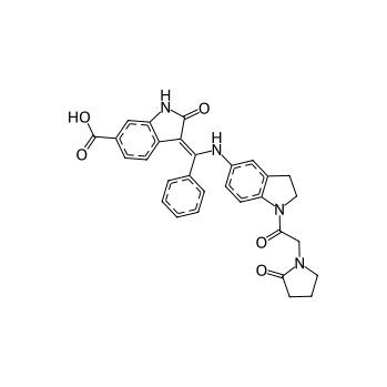 O=C1Nc2cc(C(=O)O)ccc2/C1=C(/Nc1ccc2c(c1)CCN2C(=O)CN1CCCC1=O)c1ccccc1